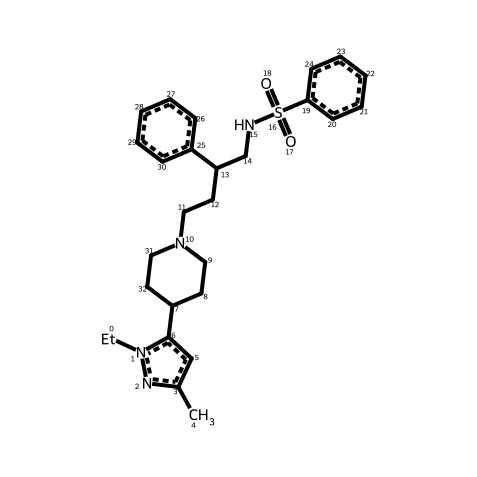 CCn1nc(C)cc1C1CCN(CCC(CNS(=O)(=O)c2ccccc2)c2ccccc2)CC1